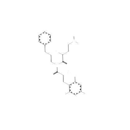 Cc1cc(O)cc(C)c1C[C@@H](N)C(=O)N(CCCc1ccccc1)C(=O)C(N)CC[S+](C)[O-]